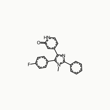 Cn1c(-c2ccccc2)nc(-c2cc[nH]c(=O)c2)c1-c1ccc(F)cc1